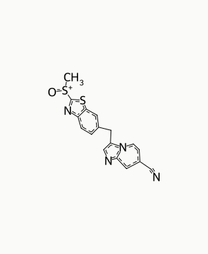 C[S+]([O-])c1nc2ccc(Cc3cnc4cc(C#N)ccn34)cc2s1